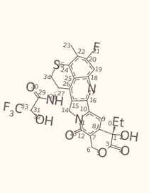 CC[C@@]1(O)C(=O)OCc2c1cc1n(c2=O)Cc2c-1nc1cc(F)c(C)c3c1c2[C@H](NC(=O)[C@H](O)C(F)(F)F)CS3